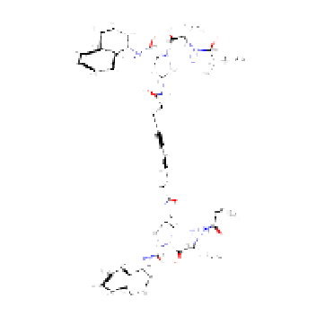 CNCC(=O)N[C@H](C(=O)N1C[C@@H](NC(=O)CCC#CC#CCCC(=O)N[C@H]2C[C@@H](C(=O)N[C@@H]3CCCc4ccccc43)N(C(=O)[C@@H](NC(=O)[C@H](C)NC)C(C)(C)C)C2)C[C@H]1C(=O)N[C@@H]1CCCc2ccccc21)C(C)(C)C